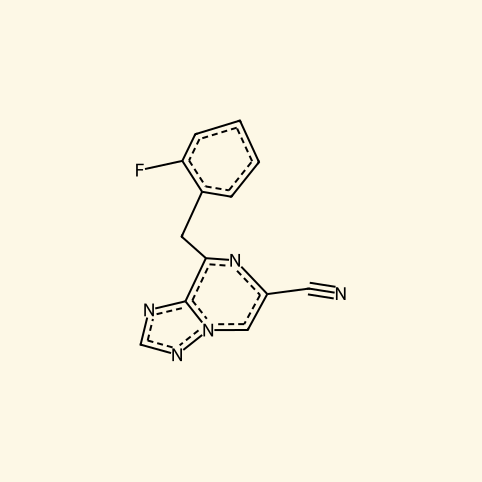 N#Cc1cn2ncnc2c(Cc2ccccc2F)n1